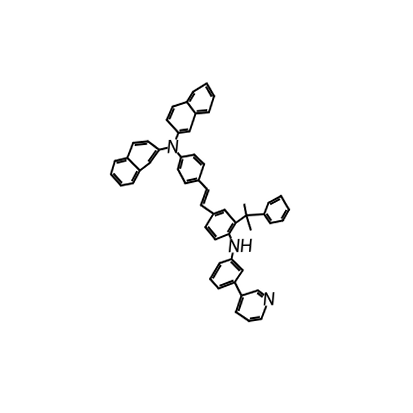 CC(C)(c1ccccc1)c1cc(/C=C/c2ccc(N(c3ccc4ccccc4c3)c3ccc4ccccc4c3)cc2)ccc1Nc1cccc(-c2cccnc2)c1